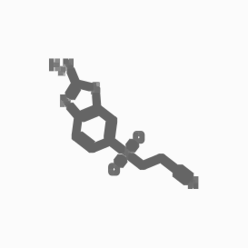 N#CCCS(=O)(=O)c1ccc2nc(N)sc2c1